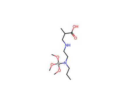 CCCN(CCNCC(C)C(=O)O)[Si](OC)(OC)OC